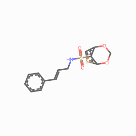 O=S(=O)(NCC=Cc1ccccc1)c1c2csc1OCO2